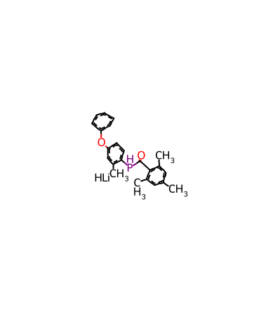 Cc1cc(C)c(C(=O)Pc2ccc(Oc3ccccc3)cc2C)c(C)c1.[LiH]